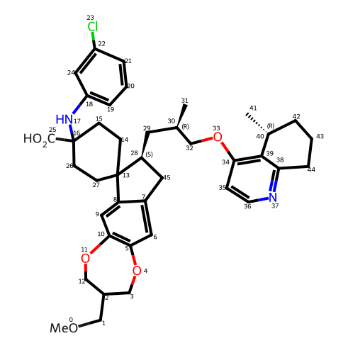 COCC1COc2cc3c(cc2OC1)C1(CCC(Nc2cccc(Cl)c2)(C(=O)O)CC1)[C@@H](C[C@@H](C)COc1ccnc2c1[C@H](C)CCC2)C3